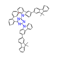 CC1(C)c2ccccc2-c2ccc(-c3ccc4c(c3)c3ccccc3n4-c3nc(-c4ccccc4-c4ccccc4)nc(-n4c5ccccc5c5cc(-c6ccc7c(c6)C(C)(C)c6ccccc6-7)ccc54)n3)cc21